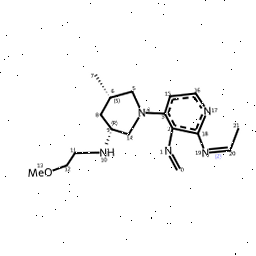 C=Nc1c(N2C[C@@H](C)C[C@@H](NCCOC)C2)ccnc1/N=C\C